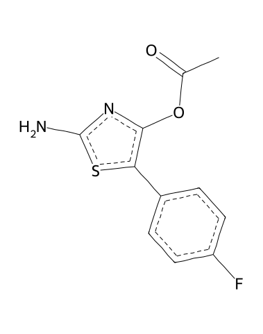 CC(=O)Oc1nc(N)sc1-c1ccc(F)cc1